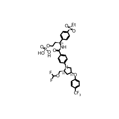 CCS(=O)(=O)c1ccc([C@H](CCOP(=O)(O)O)NC(=O)c2ccc(N3C[C@@H](Oc4ccc(C(F)(F)F)cc4)C[C@H]3COC(F)F)cc2)cc1